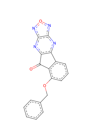 O=C1c2nc3nonc3nc2-c2cccc(OCc3ccccc3)c21